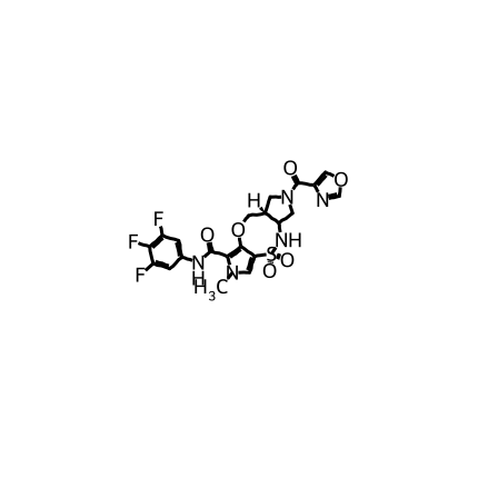 Cn1cc2c(c1C(=O)Nc1cc(F)c(F)c(F)c1)OC[C@@H]1CN(C(=O)c3cocn3)CC1NS2(=O)=O